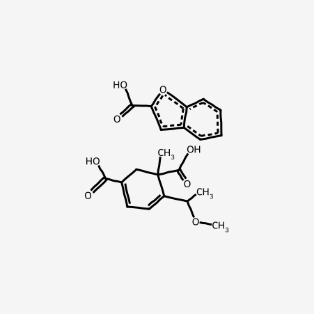 COC(C)C1=CC=C(C(=O)O)CC1(C)C(=O)O.O=C(O)c1cc2ccccc2o1